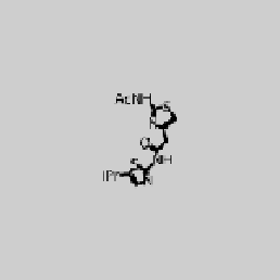 CC(=O)Nc1nc(CC(=O)Nc2ncc(C(C)C)s2)cs1